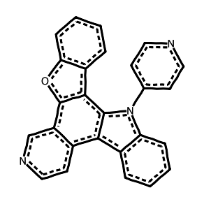 c1ccc2c(c1)oc1c3cnccc3c3c4ccccc4n(-c4ccncc4)c3c21